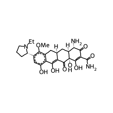 CCN1CCC[C@H]1c1cc(O)c2c(c1OC)C[C@H]1C[C@H]3[C@H](N)C(=O)C(C(N)=O)=C(O)[C@@]3(O)C(=O)C1=C2O